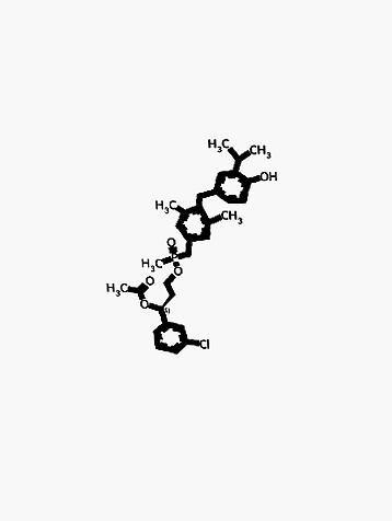 CC(=O)O[C@@H](CCOP(C)(=O)Cc1cc(C)c(Cc2ccc(O)c(C(C)C)c2)c(C)c1)c1cccc(Cl)c1